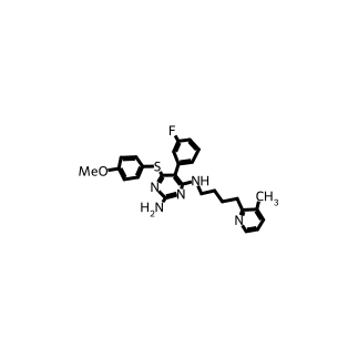 COc1ccc(Sc2nc(N)nc(NCCCCc3ncccc3C)c2-c2cccc(F)c2)cc1